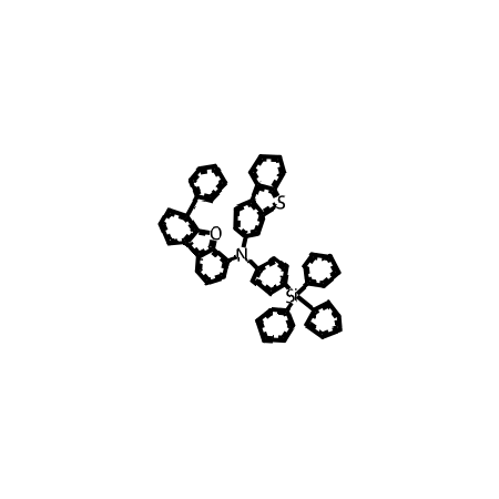 c1ccc(-c2cccc3c2oc2c(N(c4ccc([Si](c5ccccc5)(c5ccccc5)c5ccccc5)cc4)c4ccc5c(c4)sc4ccccc45)cccc23)cc1